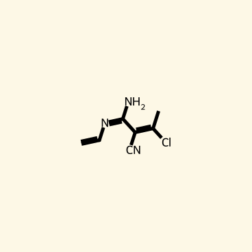 C=C/N=C(N)\C(C#N)=C(/C)Cl